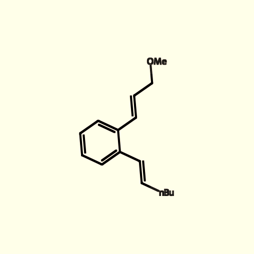 CCCCC=Cc1ccccc1C=CCOC